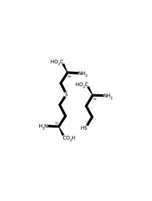 N[C@@H](CCS)C(=O)O.N[C@@H](CCSC[C@H](N)C(=O)O)C(=O)O